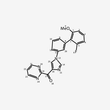 COc1cccc(F)c1-c1cccc(-n2cnc(C(=O)c3ncccn3)c2)c1